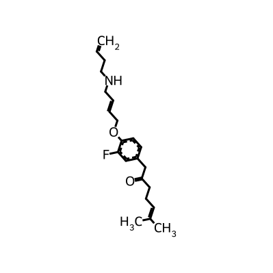 C=CCCNCC=CCOc1ccc(CC(=O)CCC=C(C)C)cc1F